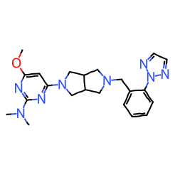 COc1cc(N2CC3CN(Cc4ccccc4-n4nccn4)CC3C2)nc(N(C)C)n1